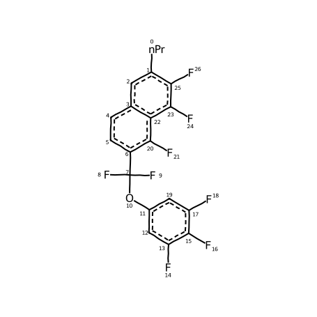 CCCc1cc2ccc(C(F)(F)Oc3cc(F)c(F)c(F)c3)c(F)c2c(F)c1F